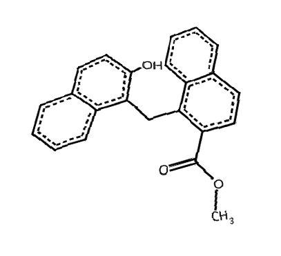 COC(=O)c1ccc2ccccc2c1Cc1c(O)ccc2ccccc12